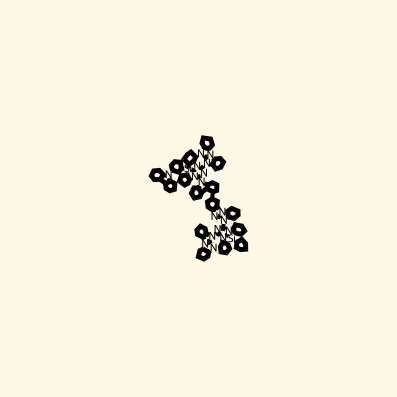 c1ccc([Si](c2ccccc2)(c2cccc(-n3c4ccccc4c4ccccc43)c2)c2nc(-n3c4ccccc4c4c(-c5ccc6nc7n(-c8nc(-n9c%10ccccc%10n%10c%11ccccc%11nc9%10)nc([Si](c9ccccc9)(c9ccccc9)c9ccccc9)n8)c8ccccc8n7c6c5)cccc43)nc(-n3c4ccccc4n4c5ccccc5nc34)n2)cc1